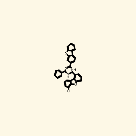 Clc1cccc2c1oc1cccc(C3NC(c4ccc5c(c4)sc4ccccc45)=NC(c4ccccc4)N3)c12